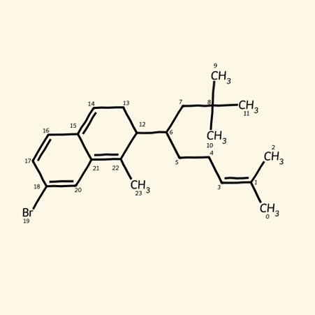 CC(C)=CCCC(CC(C)(C)C)C1CC=c2ccc(Br)cc2=C1C